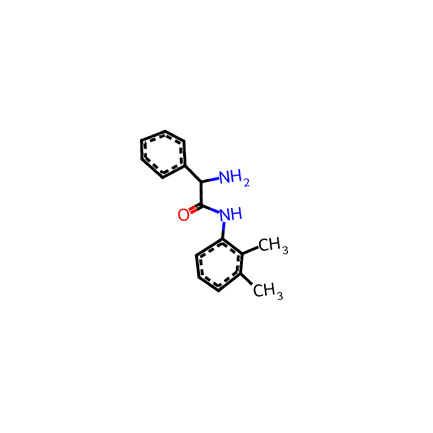 Cc1cccc(NC(=O)C(N)c2ccccc2)c1C